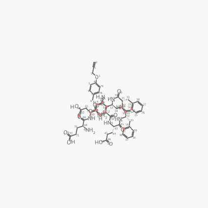 C#CCOc1ccc(C[C@H](NC(=O)[C@H](CC(C)C)NC(=O)[C@H](Cc2ccccc2)NC(=O)[C@H](Cc2ccccc2)NC(=O)[C@H](CCC(=O)O)NC(=O)[C@H](CC(N)=O)NC(=O)[C@H](CC(=O)O)NC(=O)[C@@H](N)CCC(=O)O)C(N)=O)cc1